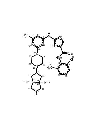 Cc1nc(Nc2ncc(C(=O)Nc3c(C)cccc3Cl)s2)cc(N2CCN(C3C[C@H]4CNC[C@H]4C3)CC2)n1